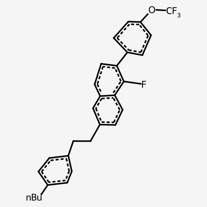 CCCCc1ccc(CCc2ccc3c(F)c(-c4ccc(OC(F)(F)F)cc4)ccc3c2)cc1